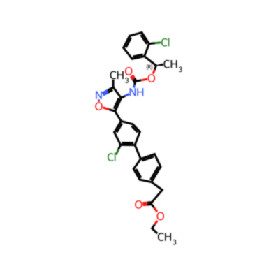 CCOC(=O)Cc1ccc(-c2ccc(-c3onc(C)c3NC(=O)O[C@H](C)c3ccccc3Cl)cc2Cl)cc1